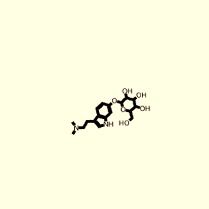 CN(C)CCc1c[nH]c2cc(OC3OC(CO)C(O)C(O)C3O)ccc12